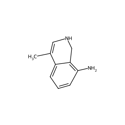 CC1=CNCc2c(N)cccc21